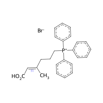 C/C(=C\C(=O)O)CCC[P+](c1ccccc1)(c1ccccc1)c1ccccc1.[Br-]